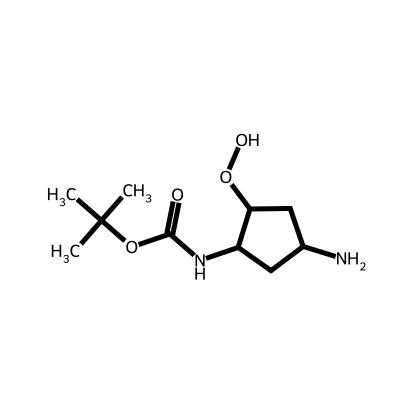 CC(C)(C)OC(=O)NC1CC(N)CC1OO